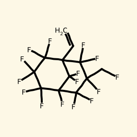 C=CC12C(F)(F)C(F)(F)C(F)(F)C(F)(C(F)(F)C(F)(CF)C1(F)F)C2(F)F